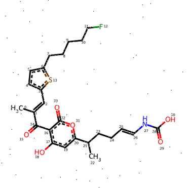 CC(=Cc1ccc(CCCCCF)s1)C(=O)c1c(O)cc(C(C)CCC=CNC(=O)O)oc1=O